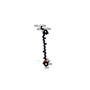 CC(=O)OC1CC(C)(C)C(=C=C/C(C)=C/C=C/C(C)=C/C=C/C=C(C)/C=C/C=C(\C)C(=O)CC2(O)C(C)(C)CC(O)CC2(C)O)C(C)(OC(=O)C(O)C(O)C(=O)O)C1